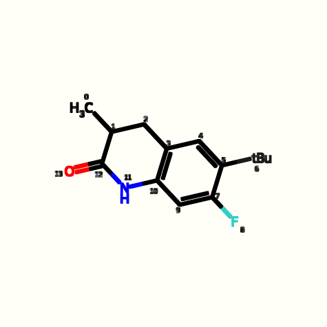 CC1Cc2cc(C(C)(C)C)c(F)cc2NC1=O